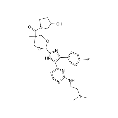 CN(C)CCNc1nccc(-c2[nH]c(C3OCC(C)(C(=O)N4CCC(O)C4)CO3)nc2-c2ccc(F)cc2)n1